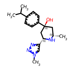 CC(C)c1ccc([C@@]2(O)C[C@@H](c3cn(C)nn3)N[C@@H](C)C2)cc1